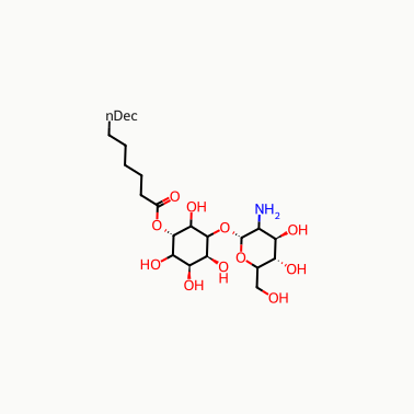 CCCCCCCCCCCCCCCC(=O)O[C@@H]1C(O)C(O[C@H]2OC(CO)[C@@H](O)[C@H](O)C2N)[C@@H](O)[C@@H](O)C1O